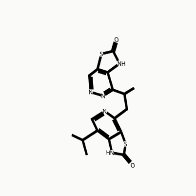 CC(C)c1cnc(CC(C)c2nncc3sc(=O)[nH]c23)c2sc(=O)[nH]c12